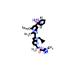 COc1cc(C(=O)N2[C@H]3CC[C@@H]2[C@H](N)C3)cc2nc(-c3cc4ccc([C@@H](C)NC(=O)c5cn(C)nn5)nc4n3CC3CC3)c(C)n12